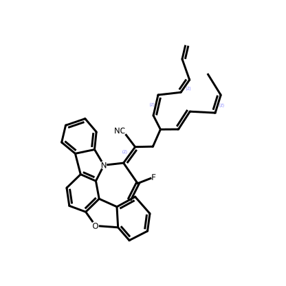 C=C/C=C\C=C/C(C=C/C=C\C)C/C(C#N)=C(\C(=C)F)n1c2ccccc2c2ccc3oc4ccccc4c3c21